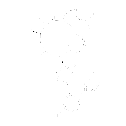 C[C@@H]1CC(F)C[C@H](n2cnc(-c3cc(Cl)ccc3-n3cc(Cl)nn3)cc2=O)c2cccc(c2)-c2c(cnn2C(F)F)NC1=O